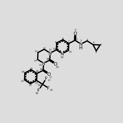 O=C(NCC1CC1)c1ccc(N2CCCN(C(=O)c3ccccc3C(F)(F)F)C2=O)nc1